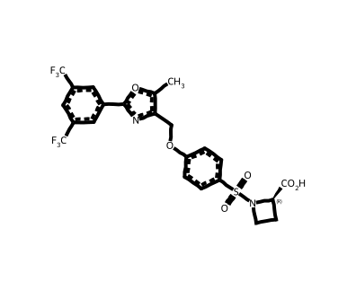 Cc1oc(-c2cc(C(F)(F)F)cc(C(F)(F)F)c2)nc1COc1ccc(S(=O)(=O)N2CC[C@@H]2C(=O)O)cc1